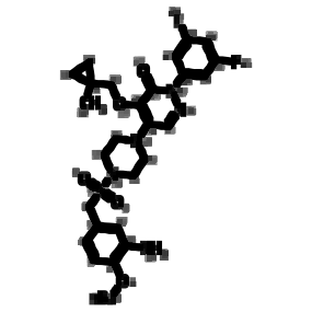 CCCCOc1ccc(CS(=O)(=O)N2CCN(c3cnn(-c4cc(F)cc(F)c4)c(=O)c3OCC3(C)CC3)CC2)cc1N